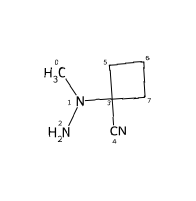 CN(N)C1(C#N)CCC1